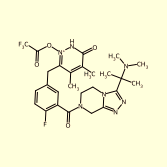 Cc1c(C)c(=O)[nH][n+](OC(=O)C(F)(F)F)c1Cc1ccc(F)c(C(=O)N2CCn3c(nnc3C(C)(C)N(C)C)C2)c1